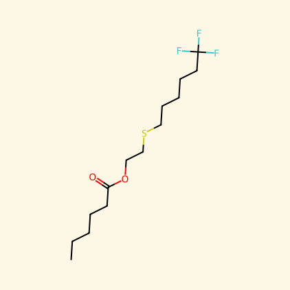 CCCCCC(=O)OCCSCCCCCC(F)(F)F